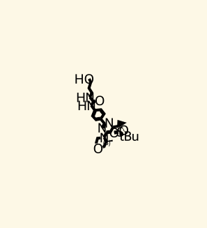 C[C@H]1COCCN1c1cc(C2(S(=O)(=O)C(C)(C)C)CC2)nc(-c2ccc(NC(=O)NCCCO)cc2)n1